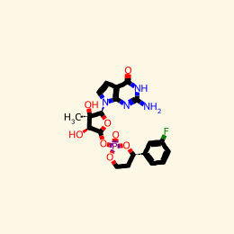 C[C@@]1(O)[C@H](O)C(OP2(=O)OCC[C@@H](c3cccc(F)c3)O2)O[C@H]1n1ccc2c(=O)[nH]c(N)nc21